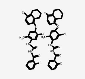 Cc1cc(Oc2ccc(Cl)c3c2CCCC3)c(Cl)cc1NC(=O)NC(=O)c1ccccc1Cl.Cc1cc(Oc2ccc(Cl)c3c2CCCC3)c(Cl)cc1NC(=O)NC(=O)c1ccccc1F